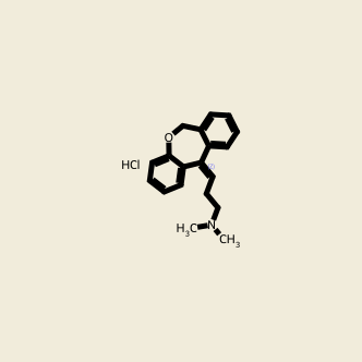 CN(C)CC/C=C1/c2ccccc2COc2ccccc21.Cl